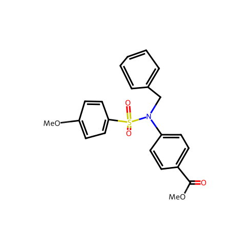 COC(=O)c1ccc(N(Cc2ccccc2)S(=O)(=O)c2ccc(OC)cc2)cc1